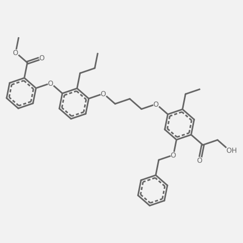 CCCc1c(OCCCOc2cc(OCc3ccccc3)c(C(=O)CO)cc2CC)cccc1Oc1ccccc1C(=O)OC